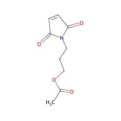 CC(=O)OCCCN1C(=O)C=CC1=O